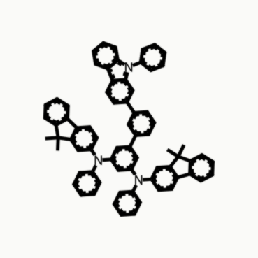 CC1(C)c2ccccc2-c2ccc(N(c3ccccc3)c3cc(-c4cccc(-c5ccc6c7ccccc7n(-c7ccccc7)c6c5)c4)cc(N(c4ccccc4)c4ccc5c(c4)C(C)(C)c4ccccc4-5)c3)cc21